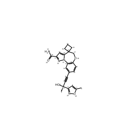 Cc1cc([C@](C)(O)C#Cc2ccc3c(c2)-n2nc(C(N)=O)cc2C2(CCC2)CO3)no1